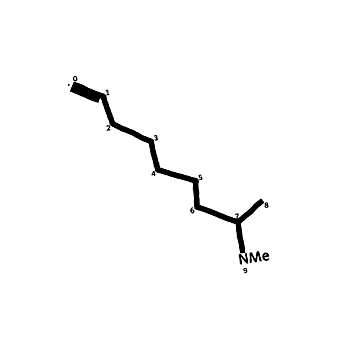 [CH]=CCCCCCC(C)NC